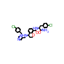 NC(=O)C(Cc1ccc(Cl)cc1)NC(=O)c1cccc2c1OCCC2NCc1cncn1Cc1ccc(Cl)cc1